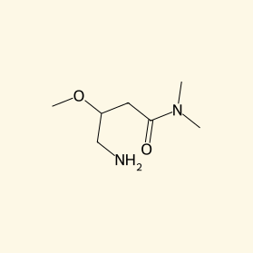 COC(CN)CC(=O)N(C)C